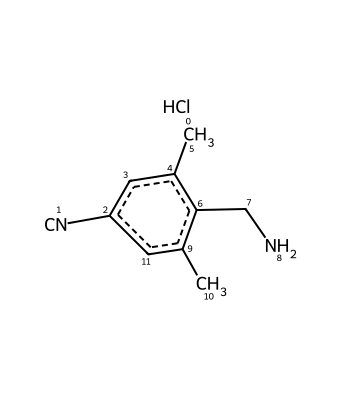 Cl.[C-]#[N+]c1cc(C)c(CN)c(C)c1